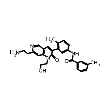 Cc1cccc(C(=O)Nc2ccc(C)c(-c3cc4cnc(CCN)cc4n(CCO)c3=O)c2)c1